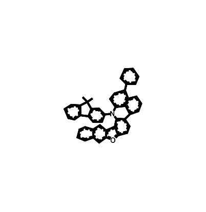 CC1(C)c2ccccc2-c2ccc(N(c3ccc(-c4ccccc4)cc3)c3c(-c4ccccc4)ccc4oc5cc6ccccc6cc5c34)cc21